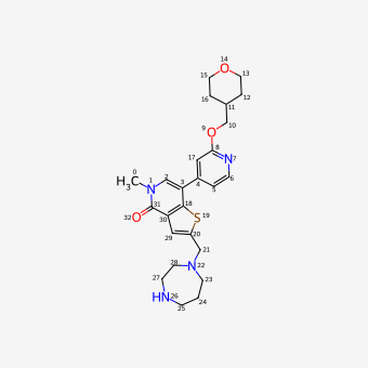 Cn1cc(-c2ccnc(OCC3CCOCC3)c2)c2sc(CN3CCCNCC3)cc2c1=O